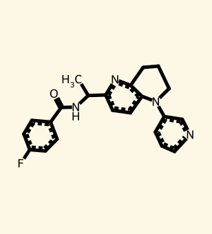 CC(NC(=O)c1ccc(F)cc1)c1ccc2c(n1)CCCN2c1cccnc1